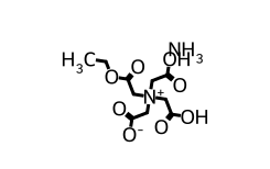 CCOC(=O)C[N+](CC(=O)[O-])(CC(=O)O)CC(=O)O.N